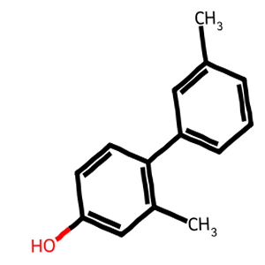 Cc1cccc(-c2ccc(O)cc2C)c1